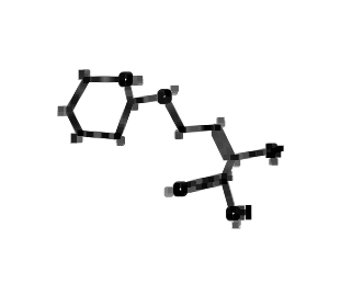 O=C(O)/C(Br)=C\COC1CCCCO1